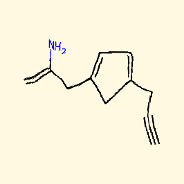 C#CCC1=CC=C(CC(=C)N)C1